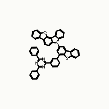 C1=CC(c2nc(-c3ccccc3)nc(-c3ccccc3)n2)=CC(c2cc(-n3c4ccccc4c4c5oc6ccccc6c5ccc43)cc3c2sc2ccccc23)C1